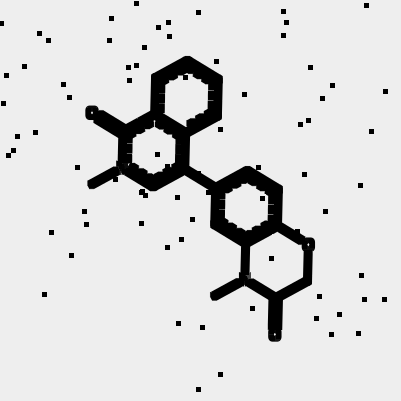 CN1C(=O)COc2ccc(-c3cn(C)c(=O)c4ccccc34)cc21